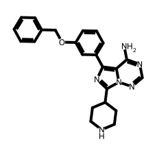 Nc1ncnn2c(C3CCNCC3)nc(-c3cccc(OCc4ccccc4)c3)c12